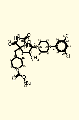 C=C(C(C)CC1(CC2CCN(C(=O)OC(C)(C)C)CC2)NC(=O)NC1=O)N1CCN(c2cc(Cl)cc(Cl)c2)CC1